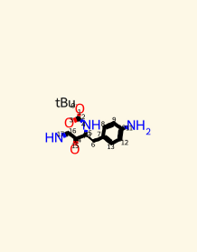 CC(C)(C)OC(=O)N[C@@H](Cc1ccc(N)cc1)C(=O)C=N